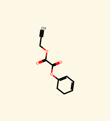 C#CCOC(=O)C(=O)OC1=CC=CCC1